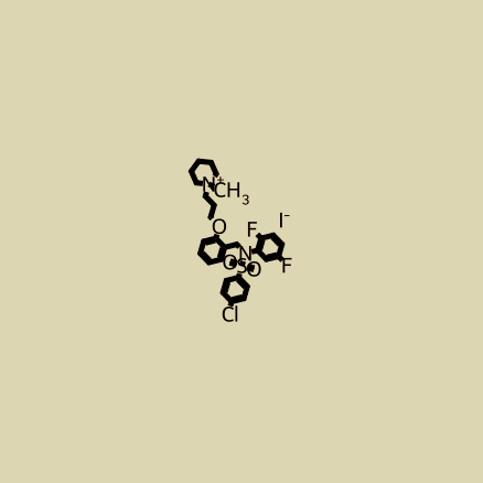 C[N+]1(CCCOc2ccccc2CN(c2cc(F)ccc2F)S(=O)(=O)c2ccc(Cl)cc2)CCCCC1.[I-]